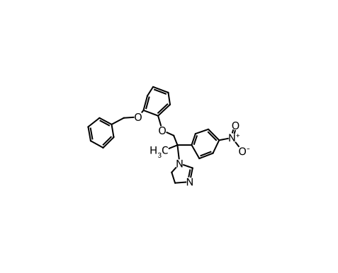 CC(COc1ccccc1OCc1ccccc1)(c1ccc([N+](=O)[O-])cc1)N1C=NCC1